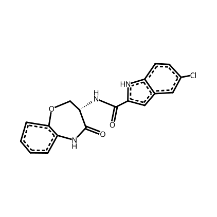 O=C(N[C@H]1COc2ccccc2NC1=O)c1cc2cc(Cl)ccc2[nH]1